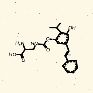 CC(C)c1c(O)cc(/C=C/c2ccccc2)cc1OC(=O)NCC(N)C(=O)O